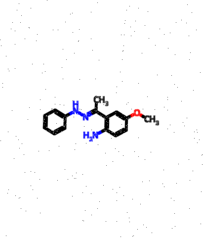 COc1ccc(N)c(C(C)=NNc2ccccc2)c1